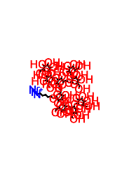 [N-]=[N+]=NCCCCCOC1OC(COC2OC(COC3OC(CO)C(O)C(O)C3OC3OC(CO)C(O)C(O)C3O)C(O)C(OC3OC(CO)C(O)C(O)C3OC3OC(CO)C(O)C(O)C3O)C2O)C(O)C(OC2OC(CO)C(O)C(O)C2OC2OC(CO)C(O)C(O)C2OC2OC(CO)C(O)C(O)C2O)C1O